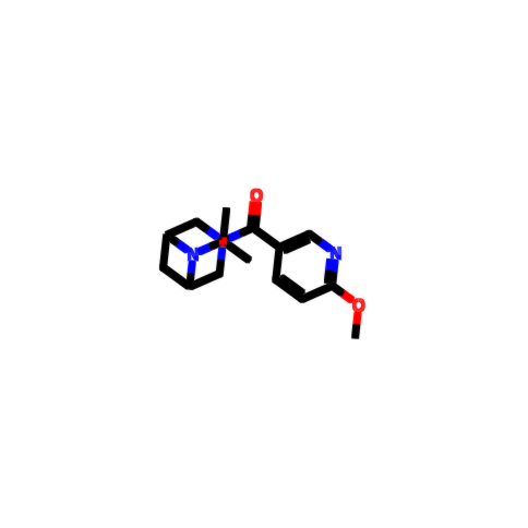 COc1ccc(C(=O)N2CC3CC(C2)N3C(C)C)cn1